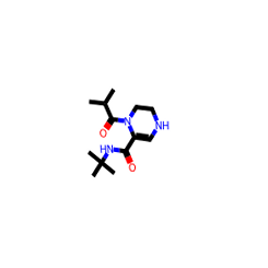 CC(C)C(=O)N1CCNC=C1C(=O)NC(C)(C)C